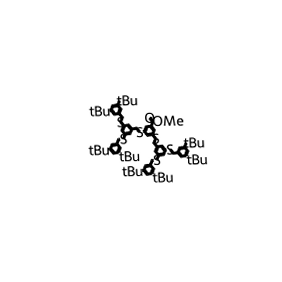 COC(=O)c1cc(SCc2cc(SCc3cc(C(C)(C)C)cc(C(C)(C)C)c3)cc(SCc3cc(C(C)(C)C)cc(C(C)(C)C)c3)c2)cc(SCc2cc(SCc3cc(C(C)(C)C)cc(C(C)(C)C)c3)cc(SCc3cc(C(C)(C)C)cc(C(C)(C)C)c3)c2)c1